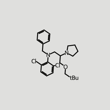 CC(C)(C)COCC(CN(Cc1ccccc1)c1c(Cl)cccc1Cl)N1CCCC1